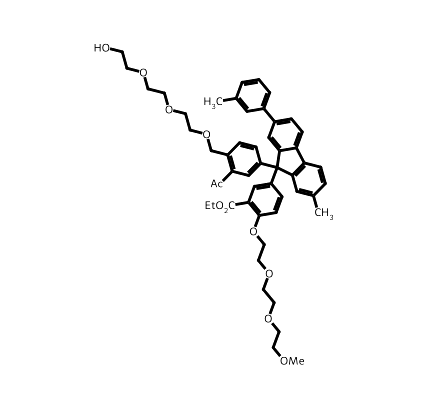 CCOC(=O)c1cc(C2(c3ccc(COCCOCCOCCO)c(C(C)=O)c3)c3cc(C)ccc3-c3ccc(-c4cccc(C)c4)cc32)ccc1OCCOCCOCCOC